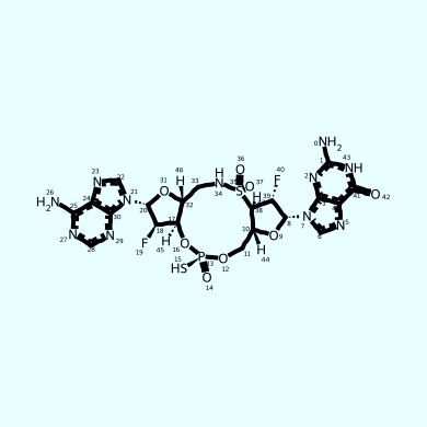 Nc1nc2c(ncn2[C@@H]2O[C@@H]3CO[P@@](=O)(S)O[C@H]4[C@@H](F)[C@H](n5cnc6c(N)ncnc65)O[C@@H]4CNS(=O)(=O)[C@H]3[C@@H]2F)c(=O)[nH]1